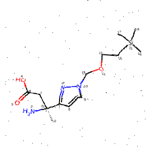 C[C@](N)(CC(=O)O)c1ccn(COCC[Si](C)(C)C)n1